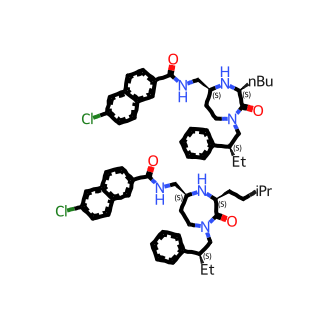 CCCC[C@@H]1N[C@H](CNC(=O)c2ccc3cc(Cl)ccc3c2)CCN(C[C@@H](CC)c2ccccc2)C1=O.CC[C@H](CN1CC[C@@H](CNC(=O)c2ccc3cc(Cl)ccc3c2)N[C@@H](CCC(C)C)C1=O)c1ccccc1